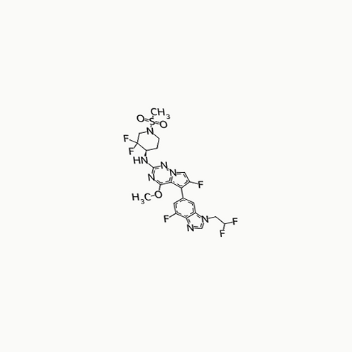 COc1nc(N[C@@H]2CCN(S(C)(=O)=O)CC2(F)F)nn2cc(F)c(-c3cc(F)c4ncn(CC(F)F)c4c3)c12